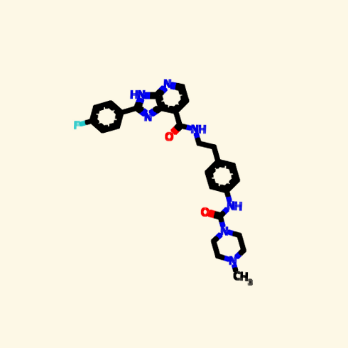 CN1CCN(C(=O)Nc2ccc(CCNC(=O)c3ccnc4[nH]c(-c5ccc(F)cc5)nc34)cc2)CC1